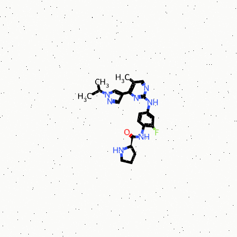 Cc1cnc(Nc2ccc(NC(=O)[C@H]3CCCN3)c(F)c2)nc1-c1cnn(C(C)C)c1